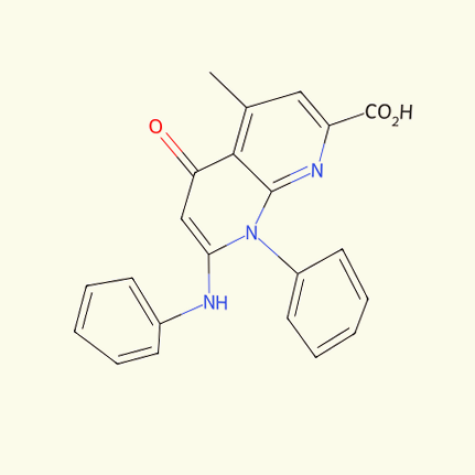 Cc1cc(C(=O)O)nc2c1c(=O)cc(Nc1ccccc1)n2-c1ccccc1